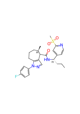 CCC[C@H](NC(=O)C1c2cnn(-c3ccc(F)cc3)c2CCC[C@H]1C)c1ccnc(S(C)(=O)=O)c1